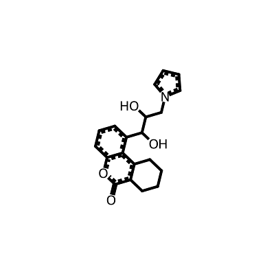 O=c1oc2cccc(C(O)C(O)Cn3cccc3)c2c2c1CCCC2